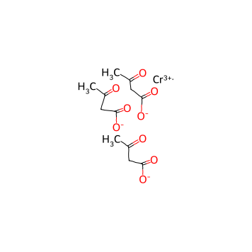 CC(=O)CC(=O)[O-].CC(=O)CC(=O)[O-].CC(=O)CC(=O)[O-].[Cr+3]